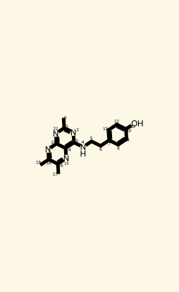 Cc1nc(NCCc2ccc(O)cc2)c2nc(C)c(C)nc2n1